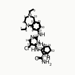 CCN1CCN(CC)c2cc(Nc3ncc(Cl)c(N[C@H]4[C@@H]5CC[C@@H](C5)[C@H]4C(N)=O)n3)ccc2C1